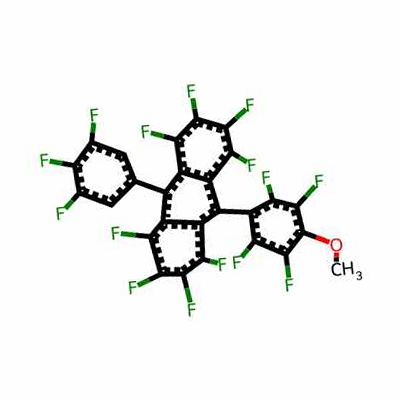 COc1c(F)c(F)c(-c2c3c(F)c(F)c(F)c(F)c3c(-c3cc(F)c(F)c(F)c3)c3c(F)c(F)c(F)c(F)c23)c(F)c1F